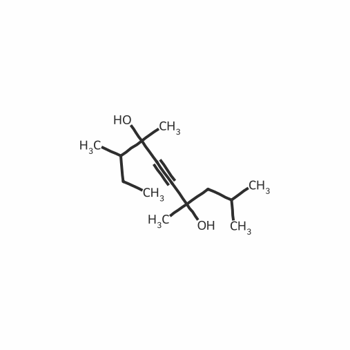 CCC(C)C(C)(O)C#CC(C)(O)CC(C)C